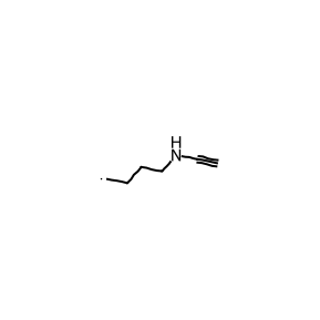 C#CNCCC[CH2]